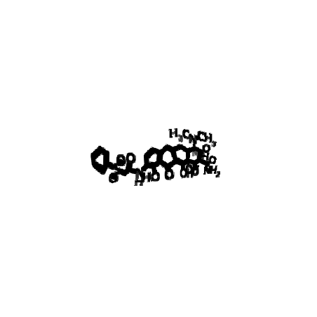 CN(C)[C@@H]1C(O)=C(C(N)=O)C(=O)[C@@]2(O)C(O)=C3C(=O)c4c(ccc(NC(=O)CS(=O)(=O)c5ccccc5)c4O)CC3CC12